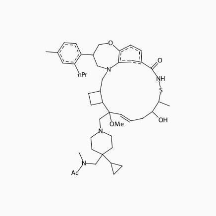 CCCc1cc(C)ccc1C1COc2ccc3cc2N(C1)CC1CCC1C(CN1CCC(CN(C)C(C)=O)(C2CC2)CC1)(OC)/C=C/CC(O)C(C)SNC3=O